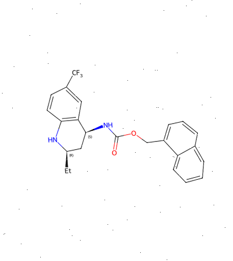 CC[C@@H]1C[C@H](NC(=O)OCc2cccc3ccccc23)c2cc(C(F)(F)F)ccc2N1